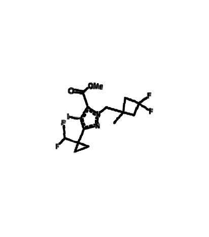 COC(=O)c1c(I)c(C2(C(F)F)CC2)nn1CC1(C)CC(F)(F)C1